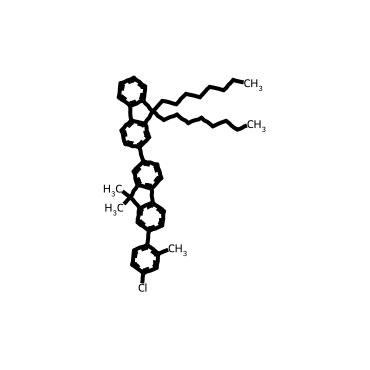 CCCCCCCCC1(CCCCCCCC)c2ccccc2-c2ccc(-c3ccc4c(c3)C(C)(C)c3cc(-c5ccc(Cl)cc5C)ccc3-4)cc21